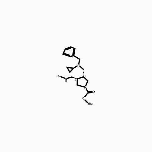 CC(C)NC[C@@H]1CN(C(=O)OC(C)(C)C)C[C@H]1CN(Cc1ccccc1)C1CC1